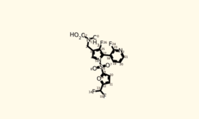 CN(Cc1cn(S(=O)(=O)c2ccc(C(F)F)o2)c(-c2cccnc2F)c1F)C(=O)O